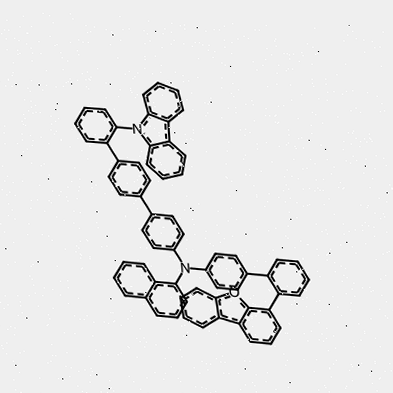 c1ccc(-c2cccc3c2oc2ccccc23)c(-c2ccc(N(c3ccc(-c4ccc(-c5ccccc5-n5c6ccccc6c6ccccc65)cc4)cc3)c3cccc4ccccc34)cc2)c1